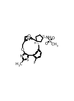 Cc1nc2c(s1)-c1cc(ccc1F)C[C@@]1(CC[C@H](NS(C)(=O)=O)C1)c1nc(co1)CO2